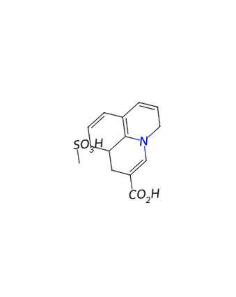 CS(=O)(=O)O.O=C(O)C1=CN2CC=CC3=C2C(CC=C3)C1